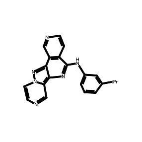 CC(C)c1cccc(Nc2nc3c(nn4ccncc34)c3cnccc23)c1